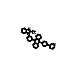 CCc1nc2ccccc2n1-c1cccc(-c2c3ccccc3c(-c3ccc(-c4cccnc4)cc3)c3ccccc23)c1